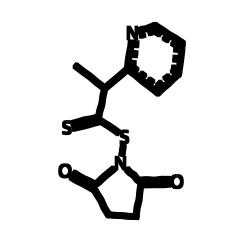 CC(C(=S)SN1C(=O)CCC1=O)c1ccccn1